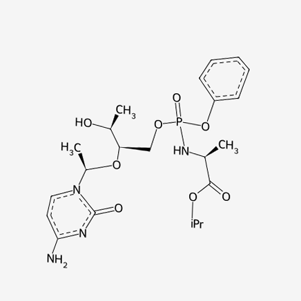 CC(C)OC(=O)[C@H](C)NP(=O)(OC[C@@H](O[C@H](C)n1ccc(N)nc1=O)[C@H](C)O)Oc1ccccc1